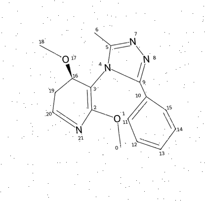 COC1=C(n2c(C)nnc2-c2ccccc2)[C@H](OC)CC=N1